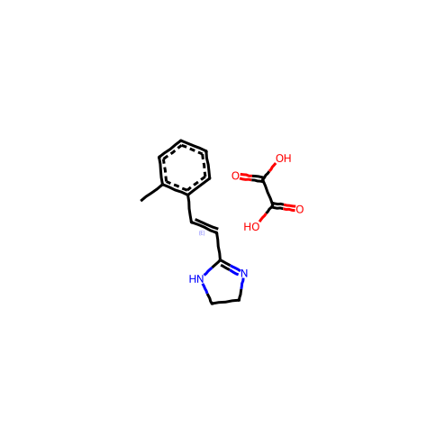 Cc1ccccc1/C=C/C1=NCCN1.O=C(O)C(=O)O